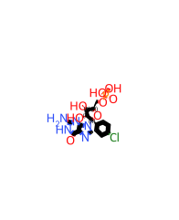 Nc1nc2c(ncn2[C@]2(c3ccc(Cl)cc3)O[C@H](COP(=O)(O)O)[C@@H](O)[C@H]2O)c(=O)[nH]1